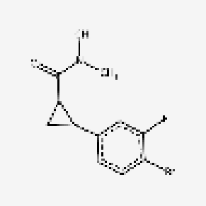 CN(C)C(=O)C1CC1c1ccc(Br)c(F)c1